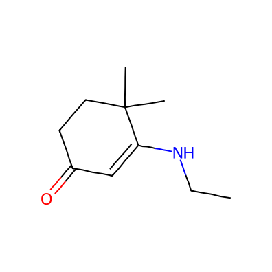 CCNC1=CC(=O)CCC1(C)C